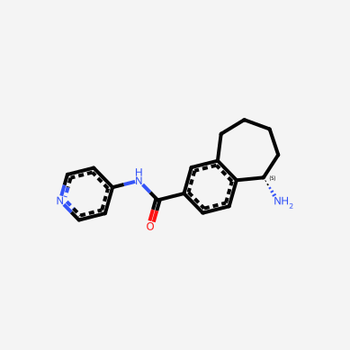 N[C@H]1CCCCc2cc(C(=O)Nc3ccncc3)ccc21